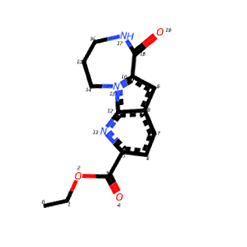 CCOC(=O)c1ccc2cc3n(c2n1)CCCNC3=O